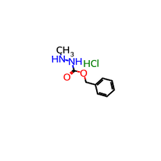 CNNC(=O)OCc1ccccc1.Cl